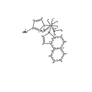 CCCCC1=C[CH]([Hf]([CH3])([CH3])([CH3])([CH3])(=[SiH2])([CH]2C=Cc3c2ccc2ccccc32)=[Si](C)C)C=C1